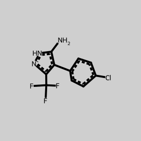 Nc1[nH]nc(C(F)(F)F)c1-c1ccc(Cl)cc1